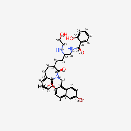 COc1ccc2cc(Br)ccc2c1CN1C(=O)[C@H](CCC(CNC(=O)c2ccccc2O)NCCO)CCc2ccccc21